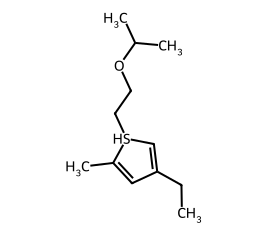 CCC1=C[SH](CCOC(C)C)C(C)=C1